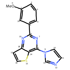 COc1cccc(-c2nc(-n3ccnc3)c3sccc3n2)c1